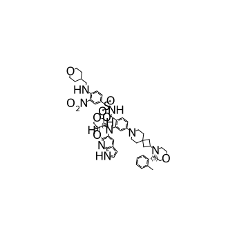 Cc1ccccc1[C@H]1COCCN1C1CC2(CCN(c3ccc(C(=O)NS(=O)(=O)c4ccc(NCC5CCOCC5)c([N+](=O)[O-])c4)c(N4c5cc6cc[nH]c6nc5O[C@@H]5COC[C@H]54)c3)CC2)C1